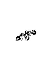 COc1cnccc1CCNC(=O)c1csc2nc(-c3ccccn3)nc(N3CCOCC3)c12